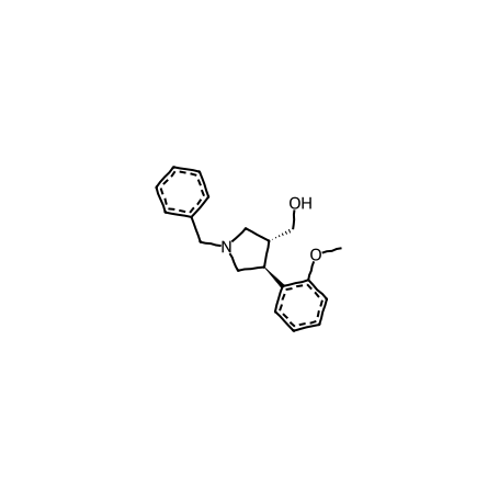 COc1ccccc1[C@H]1CN(Cc2ccccc2)C[C@@H]1CO